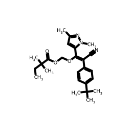 CCC(C)(C)C(=O)OCO/C(=C(/C#N)c1ccc(C(C)(C)C)cc1)c1cc(C)nn1C